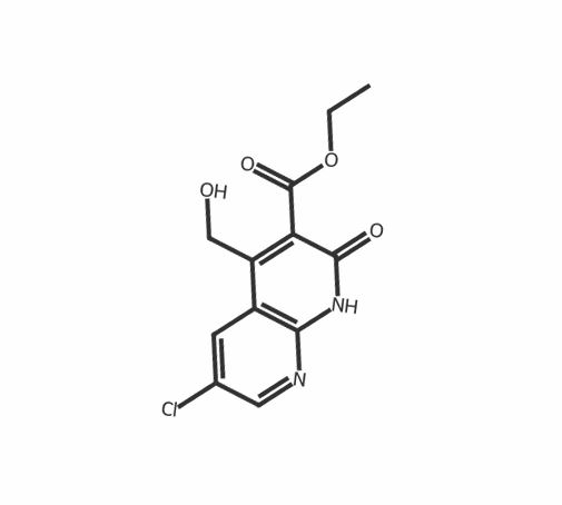 CCOC(=O)c1c(CO)c2cc(Cl)cnc2[nH]c1=O